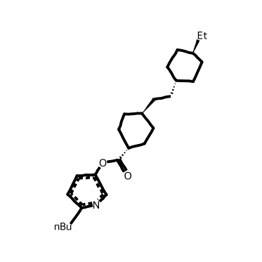 CCCCc1ccc(OC(=O)[C@H]2CC[C@H](CC[C@H]3CC[C@H](CC)CC3)CC2)cn1